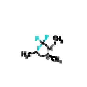 CCC[C@H](C)[C@@H](CC)C(F)(F)F